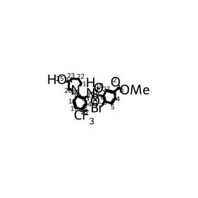 COC(=O)c1ccc(Br)c(S(=O)(=O)Nc2cc(C(F)(F)F)ccc2N2CCCC(O)C2)c1